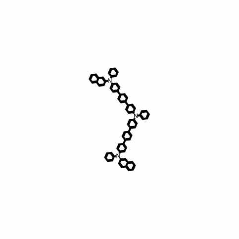 c1ccc(N(c2ccc(-c3ccc(-c4ccc(N(c5ccccc5)c5ccc6ccccc6c5)cc4)cc3)cc2)c2ccc(-c3ccc(-c4ccc(N(c5ccccc5)c5ccc6ccccc6c5)cc4)cc3)cc2)cc1